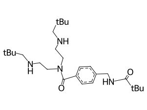 CC(C)(C)CNCCN(CCNCC(C)(C)C)C(=O)c1ccc(CNC(=O)C(C)(C)C)cc1